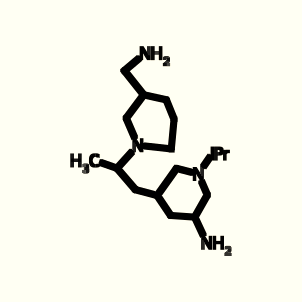 CC(C)N1CC(N)CC(CC(C)N2CCCC(CN)C2)C1